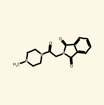 CN1CCN(C(=O)CN2C(=O)c3ccccc3C2=O)CC1